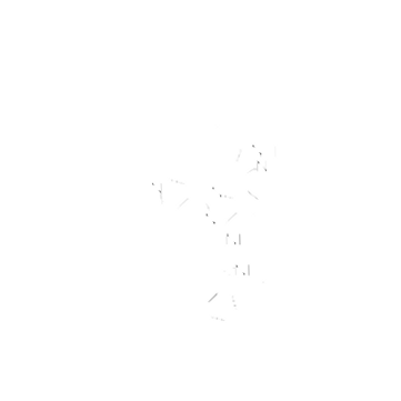 N[C@H](CNc1nc(-c2ccncc2)nc2c(-c3cc(C4CC4)[nH]n3)csc12)Cc1ccccc1